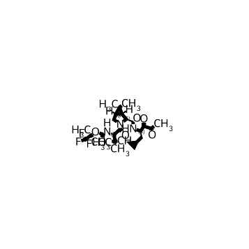 CC(=O)C(=O)[C@@H](CC1CC1)NC(=O)[C@@H]1[C@@H]2[C@H](CN1C(=O)[C@@H](NC(=O)OC(C)(C)C(F)(F)F)C(C)(C)C)C2(C)C